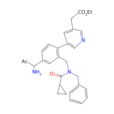 CCOC(=O)Cc1cncc(-c2ccc(C(N)C(C)=O)cc2CN(Cc2ccccc2)C(=O)C2CC2)c1